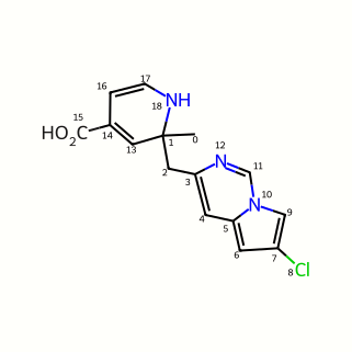 CC1(Cc2cc3cc(Cl)cn3cn2)C=C(C(=O)O)C=CN1